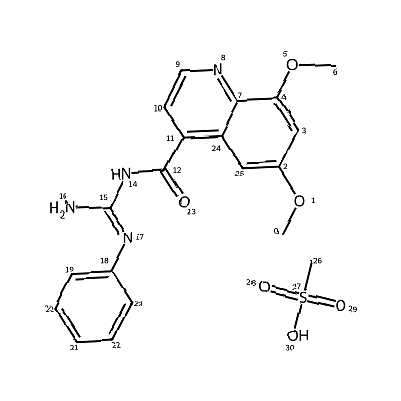 COc1cc(OC)c2nccc(C(=O)NC(N)=Nc3ccccc3)c2c1.CS(=O)(=O)O